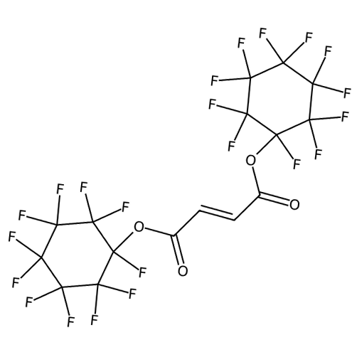 O=C(C=CC(=O)OC1(F)C(F)(F)C(F)(F)C(F)(F)C(F)(F)C1(F)F)OC1(F)C(F)(F)C(F)(F)C(F)(F)C(F)(F)C1(F)F